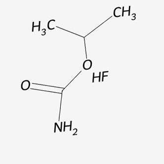 CC(C)OC(N)=O.F